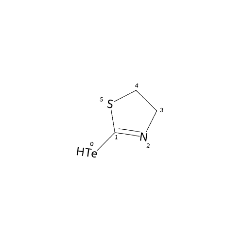 [TeH]C1=NCCS1